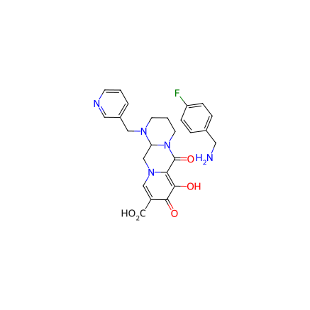 NCc1ccc(F)cc1.O=C(O)c1cn2c(c(O)c1=O)C(=O)N1CCCN(Cc3cccnc3)C1C2